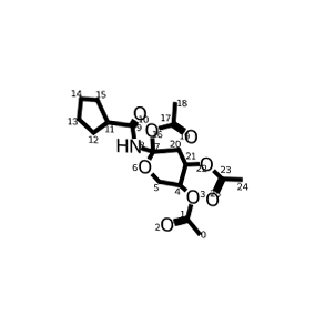 CC(=O)OC1COC(NC(=O)C2CCCC2)(OC(C)=O)CC1OC(C)=O